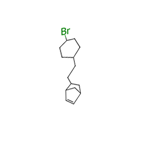 BrC1CCC(CCC2CC3C=CC2C3)CC1